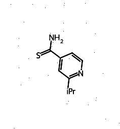 CC(C)c1cc(C(N)=S)ccn1